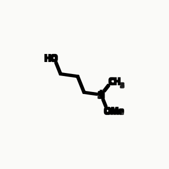 CO[Si](C)CCCO